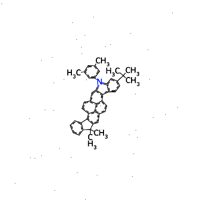 Cc1cc(C)cc(-n2c3cc(C(C)(C)C)ccc3c3c4ccc5cc6c(c7ccc(cc32)c4c57)-c2ccccc2C6(C)C)c1